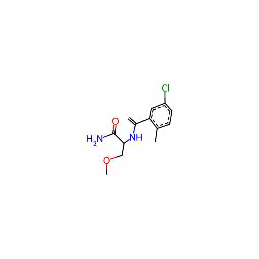 C=C(NC(COC)C(N)=O)c1cc(Cl)ccc1C